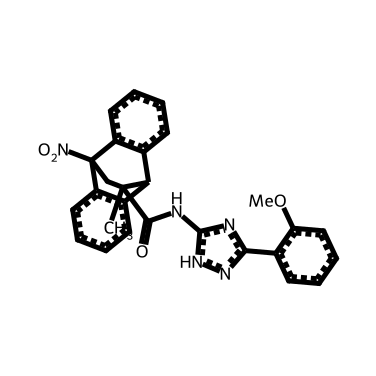 COc1ccccc1-c1n[nH]c(NC(=O)C2(C)CC3([N+](=O)[O-])c4ccccc4C2c2ccccc23)n1